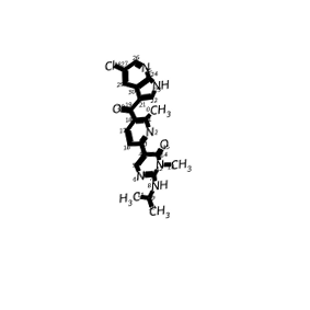 Cc1nc(-c2cnc(NC(C)C)n(C)c2=O)ccc1C(=O)c1c[nH]c2ncc(Cl)cc12